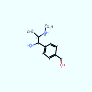 NC(c1ccc(CO)cc1)C(C=O)NC(=O)O